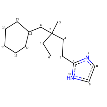 CCC(C)(CCc1ncc[nH]1)CC1CCCCC1